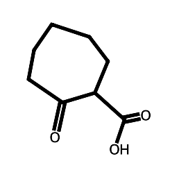 O=C(O)C1CCCCCC1=O